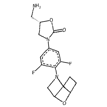 NC[C@H]1CN(c2cc(F)c(N3CC4OC5CCC543)c(F)c2)C(=O)O1